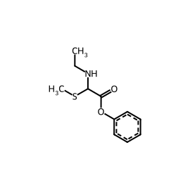 CCNC(SC)C(=O)Oc1ccccc1